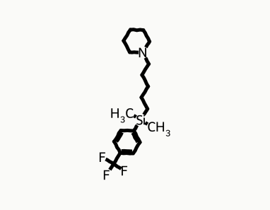 C[Si](C)(CCCCCN1CCCCC1)c1ccc(C(F)(F)F)cc1